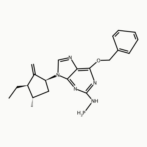 C=C1[C@H](CC)[C@@H](C)C[C@@H]1n1cnc2c(OCc3ccccc3)nc(NP)nc21